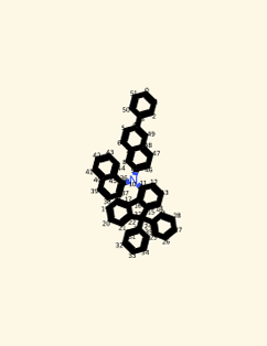 c1ccc(-c2ccc3cc(N(c4cccc5c4-c4ccccc4C5(c4ccccc4)c4ccccc4)c4cccc5ccccc45)ccc3c2)cc1